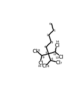 CCCCCC(C(Cl)Cl)(C(Cl)Cl)C(Cl)Cl